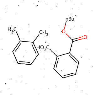 CCCCOC(=O)c1ccccc1C(=O)O.Cc1ccccc1C